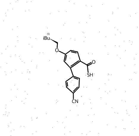 CC[C@H](C)COc1ccc(C(=O)S)c(-c2ccc(C#N)cc2)c1